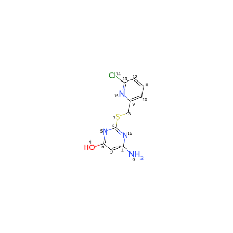 Nc1cc(O)nc(SCc2cccc(Cl)n2)n1